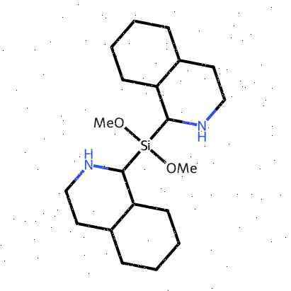 CO[Si](OC)(C1NCCC2CCCCC21)C1NCCC2CCCCC21